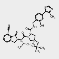 Cc1ncsc1-c1ccc(CNC(=O)[C@@H]2C[C@@H](OC(C)(C)C)CN2C(=O)[C@H](C(C)C)N2Cc3cccc(C#N)c3C2=O)c(O)c1